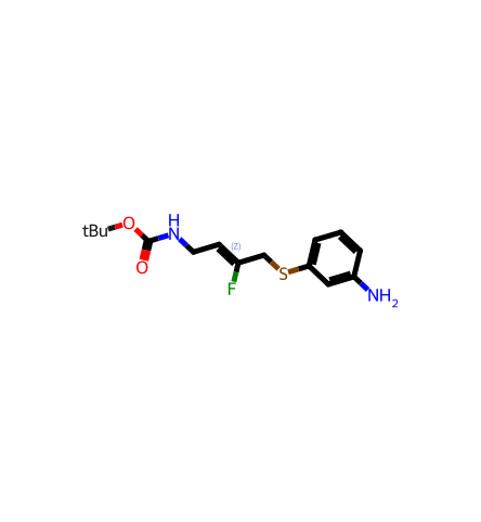 CC(C)(C)OC(=O)NC/C=C(\F)CSc1cccc(N)c1